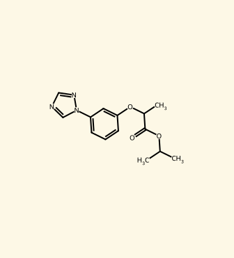 CC(C)OC(=O)C(C)Oc1cccc(-n2cncn2)c1